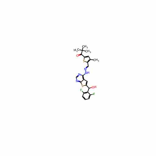 Cc1cc(C(=O)C(C)(C)C)sc1C=NNc1ncnc2sc(C(O)c3c(F)cccc3F)cc12